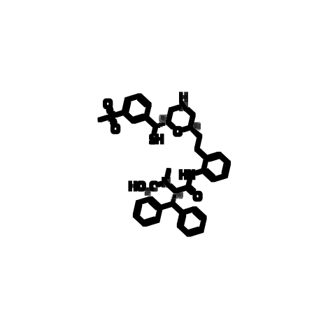 CN(C(=O)O)[C@H](C(=O)Nc1ccccc1CC[C@@H]1CNC[C@@H](C(S)c2cccc(S(C)(=O)=O)c2)O1)C(c1ccccc1)c1ccccc1